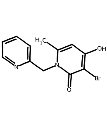 Cc1cc(O)c(Br)c(=O)n1Cc1ccccn1